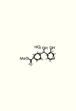 COC(=O)c1ccc(C(O)c2ccncc2O)cc1.Cl